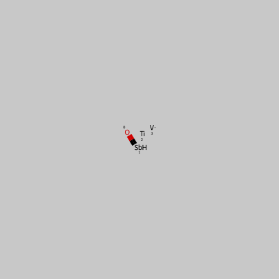 [O]=[SbH].[Ti].[V]